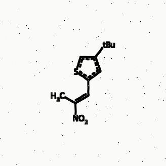 CC(=Cc1cc(C(C)(C)C)cs1)[N+](=O)[O-]